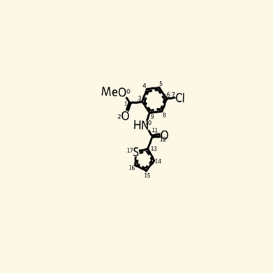 COC(=O)c1ccc(Cl)cc1NC(=O)c1cccs1